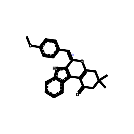 COc1ccc(/C=C2/OC3=C(C(=O)CC(C)(C)C3)c3c2[nH]c2ccccc32)cc1